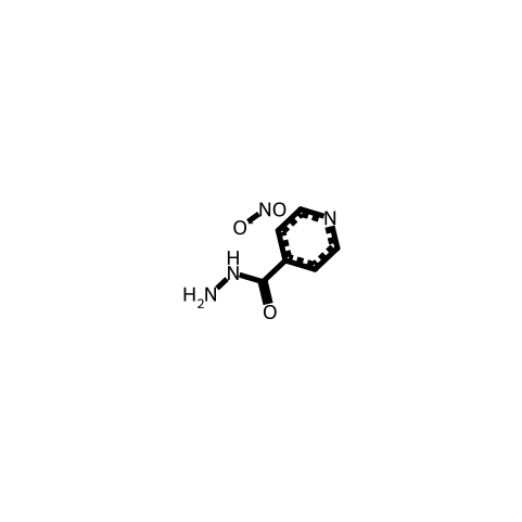 NNC(=O)c1ccncc1.O=[NH+][O-]